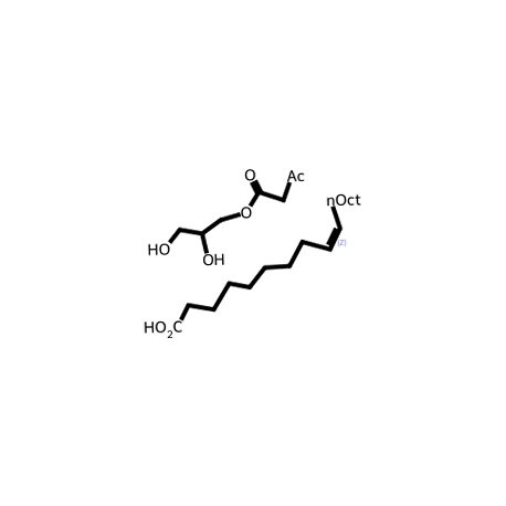 CC(=O)CC(=O)OCC(O)CO.CCCCCCCC/C=C\CCCCCCCC(=O)O